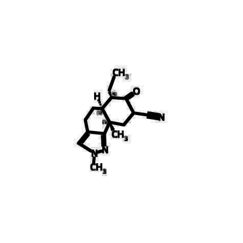 CC[C@@H]1C(=O)C(C#N)C[C@]2(C)c3nn(C)cc3CC[C@@H]12